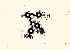 COc1ccc(CCc2ccc(F)cc2C=CC(CCc2ccc(C(=O)O)cc2)Cc2ccc(-c3nnn[nH]3)cc2)cc1